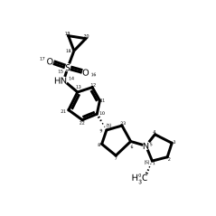 C[C@H]1CCCN1C1CC[C@H](c2ccc(NS(=O)(=O)C3CC3)cc2)C1